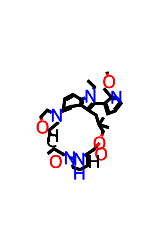 CCn1c(-c2cccnc2COC)c2c3cc(ccc31)N1CCO[C@H](CC(C)C(=O)N3CCC[C@H](N3)C(=O)OCC(C)(C)C2)C1